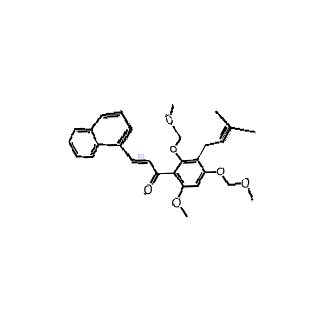 COCOc1cc(OC)c(C(=O)/C=C/c2cccc3ccccc23)c(OCOC)c1CC=C(C)C